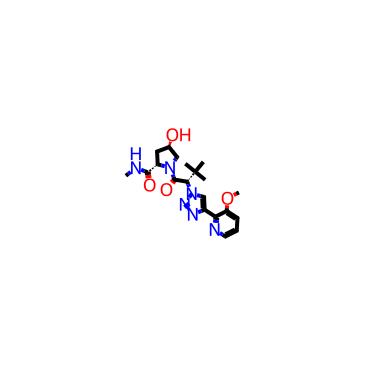 CNC(=O)[C@@H]1C[C@@H](O)CN1C(=O)[C@@H](n1cc(-c2ncccc2OC)nn1)C(C)(C)C